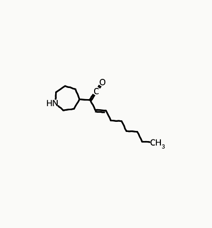 CCCCCCC=CC(=C=O)C1CCCNCC1